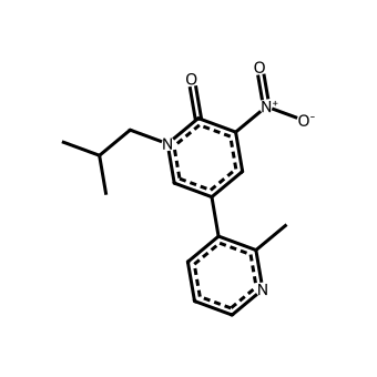 Cc1ncccc1-c1cc([N+](=O)[O-])c(=O)n(CC(C)C)c1